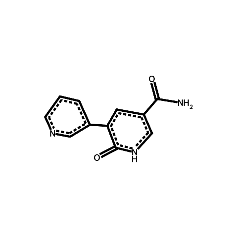 NC(=O)c1c[nH]c(=O)c(-c2cccnc2)c1